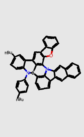 CCCCc1ccc(N2B3c4c(cc5c(oc6ccccc65)c4-n4c5cc6ccccc6cc5c5cccc3c54)-c3cc(CCCC)ccc32)cc1